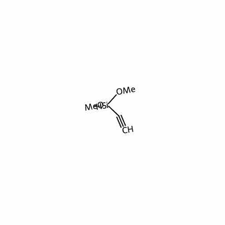 C#C[SiH](OC)OC